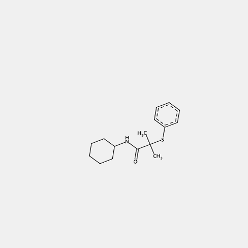 CC(C)(Sc1ccccc1)C(=O)NC1CCCCC1